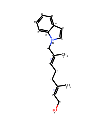 C/C(=C\CO)CC/C=C(\C)Cn1ccc2ccccc21